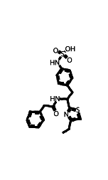 CCc1csc(C(Cc2ccc(NS(=O)(=O)O)cc2)NC(=O)Cc2ccccc2)n1